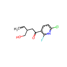 C=CC(CO)CC(=O)c1ccc(Cl)nc1F